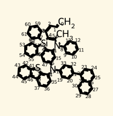 C=C/C=C\C1=C(C)N(c2ccccc2)c2cc(N(c3ccc(-c4cccc5ccccc45)cc3)c3cccc4c3sc3ccccc34)ccc2[Si]1(c1ccccc1)c1ccccc1